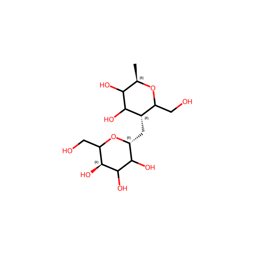 C[C@H]1OC(CO)[C@H](C[C@H]2OC(CO)[C@H](O)C(O)C2O)C(O)C1O